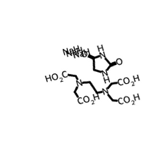 O=C(O)CN(CCN(CC(=O)O)CC(=O)O)CC(=O)O.O=C1CNC(=O)N1.[NaH].[NaH].[NaH]